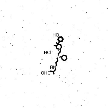 CC(CC=O)CNCCCCN(CCN1CCC(C)(c2cccc(O)c2)C(C)C1)C1CCCCC1.Cl